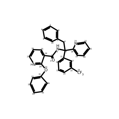 O=C(NC(Cc1ccccc1)(c1cccc(C(F)(F)F)c1)c1ccccn1)c1cccnc1Oc1ccccc1